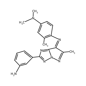 CC1=Nn2nc(-c3cccc(N)c3)nc2/C1=N\c1ccc(N(C)C)cc1C